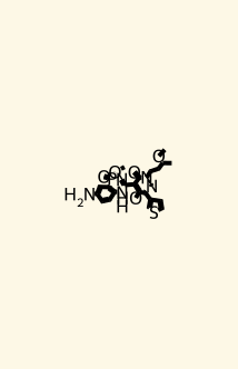 COC(C)CCn1nc(-c2ccsc2)c(O)c(C2=NP(=O)(OC)c3cc(N)ccc3N2)c1=O